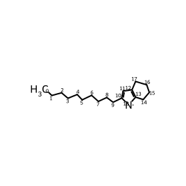 CCCCCCCCCCC1=CC2=C(CCCC2)[N]1